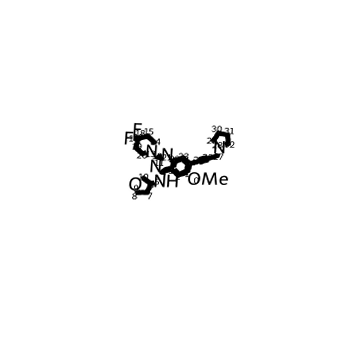 COc1cc2c(NC3CCOC3)nc(N3CCC(F)(F)CC3)nc2cc1C#CCN1CCCC1